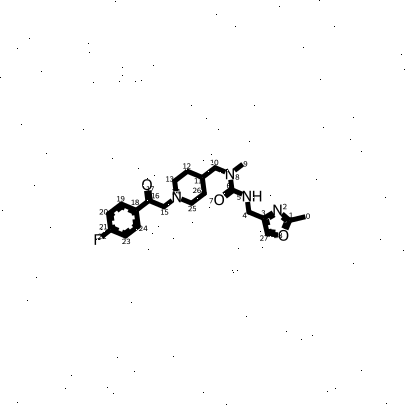 Cc1nc(CNC(=O)N(C)CC2CCN(CC(=O)c3ccc(F)cc3)CC2)co1